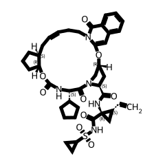 C=C[C@@H]1C[C@]1(NC(=O)[C@@H]1C[C@@H]2CN1C(=O)[C@H](C1CCCC1)NC(=O)O[C@@H]1CCC[C@H]1CC=CCCn1c(cc3ccccc3c1=O)O2)C(=O)NS(=O)(=O)C1CC1